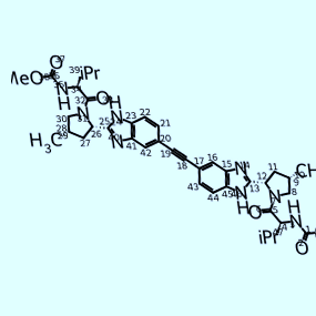 COC(=O)N[C@H](C(=O)N1C[C@@H](C)C[C@H]1c1nc2cc(C#Cc3ccc4[nH]c([C@@H]5C[C@H](C)CN5C(=O)[C@@H](NC(=O)OC)C(C)C)nc4c3)ccc2[nH]1)C(C)C